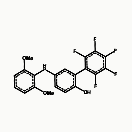 COc1cccc(OC)c1Pc1ccc(O)c(-c2c(F)c(F)c(F)c(F)c2F)c1